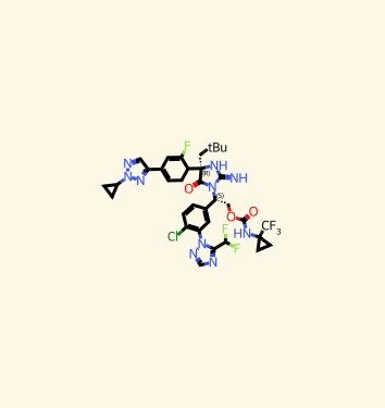 CC(C)(C)C[C@]1(C2CC=C(c3cnn(C4CC4)n3)C=C2F)NC(=N)N([C@H](COC(=O)NC2(C(F)(F)F)CC2)c2ccc(Cl)c(-n3ncnc3C(F)F)c2)C1=O